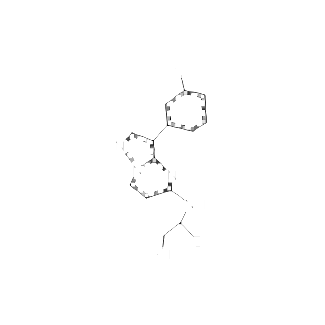 CCC(CO)Nc1ccn2ncc(-c3cccc(Cl)c3)c2n1